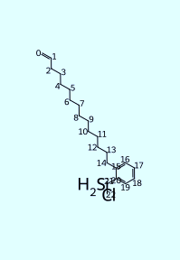 C=CCCCCCCCCCCCCCc1ccccc1[SiH2]Cl